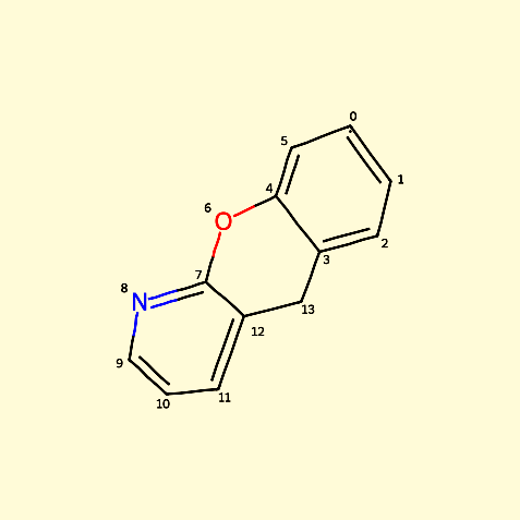 [c]1ccc2c(c1)Oc1ncccc1C2